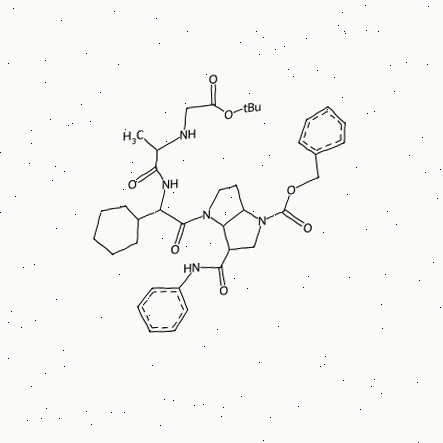 CC(NCC(=O)OC(C)(C)C)C(=O)NC(C(=O)N1CCC2C1C(C(=O)Nc1ccccc1)CN2C(=O)OCc1ccccc1)C1CCCCC1